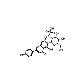 O=c1cc(-c2ccc(O)cc2)oc2cc(O)c([C@@H]3O[C@H](CO)[C@@H](O)[C@H](O)[C@@H]3OS(=O)(=O)O)c(O)c12